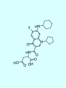 O=C(O)CC(NC(=O)c1cn(C2CCCC2)c2cc(NC3CCCCC3)c(F)cc2c1=O)C(=O)O